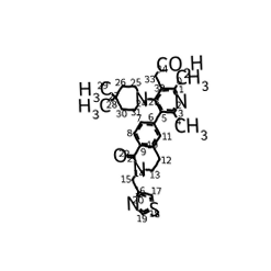 Cc1nc(C)c(-c2ccc3c(c2)CCN(Cc2cscn2)C3=O)c(N2CCC(C)(C)CC2)c1CC(=O)O